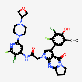 O=Cc1cc(-c2cn(CC(=O)Nc3cc(N4CCN(C5COC5)CC4)nc(F)c3Cl)c3nc4n(c(=O)c23)CCC4)c(F)c(Cl)c1O